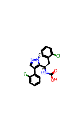 Cn1ncc(-c2ccccc2F)c1[C@@H](Cc1ccccc1Cl)NC(=O)O